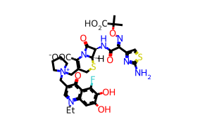 CCn1cc(C[N+]2(CC3=C(C(=O)[O-])N4C(=O)[C@@H](NC(=O)/C(=N\OC(C)(C)C(=O)O)c5csc(N)n5)[C@H]4SC3)CCCC2)c(=O)c2c(F)c(O)c(O)cc21